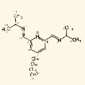 CC(C)N=Cc1cccc(C=NC(C)C)n1.[Cl-].[Cl-].[Cl-].[Co+3]